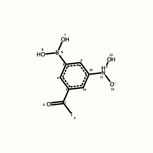 O=C(I)c1cc(B(O)O)cc([NH+]([O-])O)c1